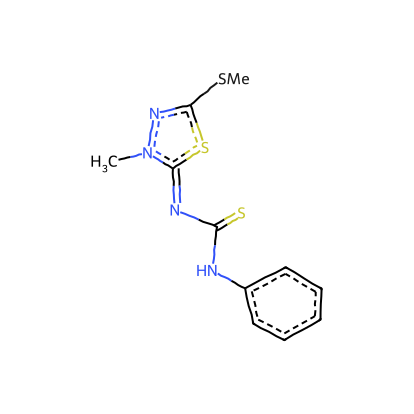 CSc1nn(C)c(=NC(=S)Nc2ccccc2)s1